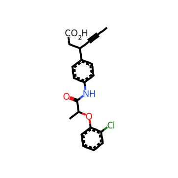 CC#CC(CC(=O)O)c1ccc(NC(=O)C(C)Oc2ccccc2Cl)cc1